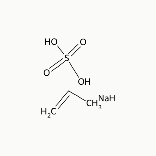 C=CC.O=S(=O)(O)O.[NaH]